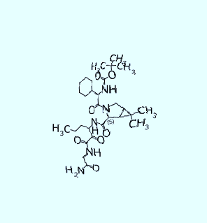 CCCC(NC(=O)[C@@H]1C2C(CN1C(=O)C(NC(=O)OC(C)(C)C)C1CCCCC1)C2(C)C)C(=O)C(=O)NCC(N)=O